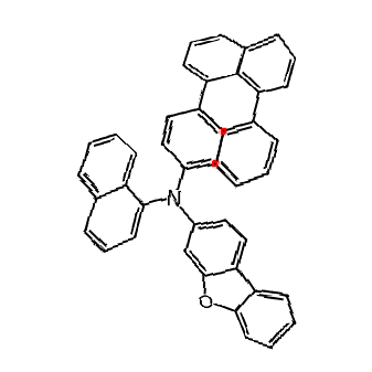 c1ccc(-c2cccc3cccc(-c4ccc(N(c5ccc6c(c5)oc5ccccc56)c5cccc6ccccc56)cc4)c23)cc1